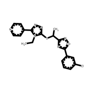 CCn1c(SC(C)c2noc(-c3cccc(Cl)c3)n2)nnc1-c1ccncc1